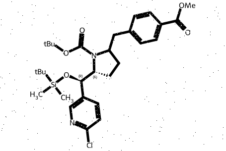 COC(=O)c1ccc(CC2CC[C@H]([C@H](O[Si](C)(C)C(C)(C)C)c3ccc(Cl)nc3)N2C(=O)OC(C)(C)C)cc1